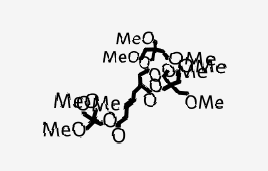 COCCC(CCOC)(COC)COC(=O)CC(CC=CCC(=O)OCC(COC)(COC)COC)C(=O)OCC(CCOC)(CCOC)COC